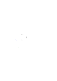 O=[N+]([O-])c1ccc(OCCCI)cc1CBr